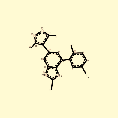 Cc1nc2c(-c3cc(F)ccc3C)cc(-c3c(C)noc3C)cc2[nH]1